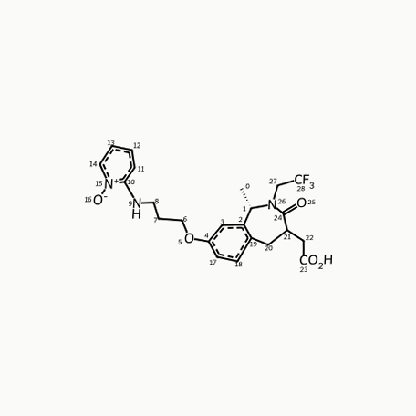 C[C@H]1c2cc(OCCCNc3cccc[n+]3[O-])ccc2CC(CC(=O)O)C(=O)N1CC(F)(F)F